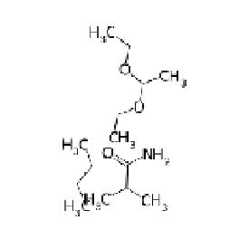 CC(C)C(N)=O.CCCC.CCOC(C)OCC